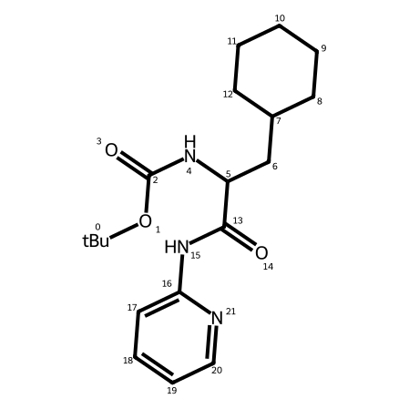 CC(C)(C)OC(=O)NC(CC1CCCCC1)C(=O)Nc1ccccn1